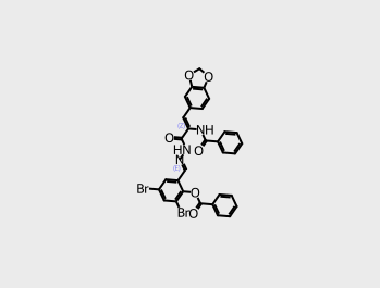 O=C(N/N=C/c1cc(Br)cc(Br)c1OC(=O)c1ccccc1)/C(=C/c1ccc2c(c1)OCO2)NC(=O)c1ccccc1